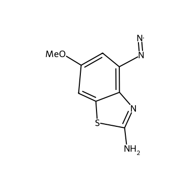 COc1cc(N=[N])c2nc(N)sc2c1